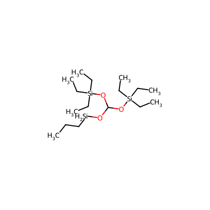 CCC[SiH2]OC(O[Si](CC)(CC)CC)O[Si](CC)(CC)CC